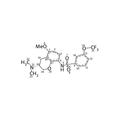 COc1ccc(NS(=O)(=O)c2cccc(OC(F)(F)F)c2)c2c1C[C@@H](N(C)C)CO2